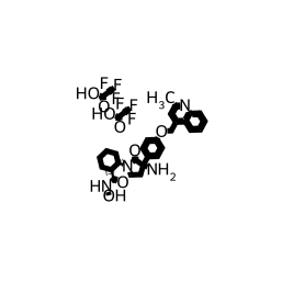 Cc1cc(COc2ccc(C3(N)CCN([C@@H]4CCCC[C@@H]4C(=O)NO)C3=O)cc2)c2ccccc2n1.O=C(O)C(F)(F)F.O=C(O)C(F)(F)F